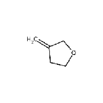 C=C1CCOC1